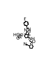 CC1(C)[C@@H](NCC(=O)N2CCCC2C#N)CC[C@@]1(C)c1nc(-c2ccc(F)cc2)no1.CS(=O)(=O)O